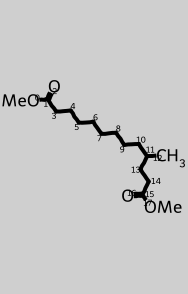 COC(=O)CCCCCCCCC(C)CCC(=O)OC